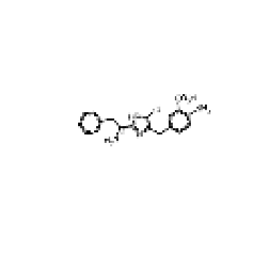 Nc1ccc(Cc2nc([C@@H](N)Cc3ccccc3)[nH]c2Cl)cc1C(=O)O